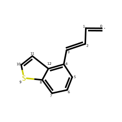 [CH]=CC=Cc1cccc2sccc12